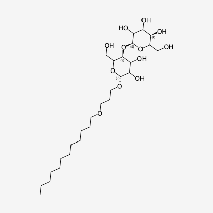 CCCCCCCCCCCCOCCCO[C@@H]1OC(CO)[C@@H](O[C@@H]2OC(CO)[C@H](O)C(O)C2O)C(O)C1O